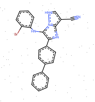 N#Cc1c[nH]n2c(Nc3ccccc3Br)c(-c3ccc(-c4ccccc4)cc3)nc12